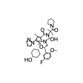 COc1ccc(F)cc1[C@H](CN1c2sc(-n3cccn3)c(C)c2C(=O)N(C(C)(C)C(=O)N2CCCC2)C1O)O[C@H]1CC[C@@H](O)CC1